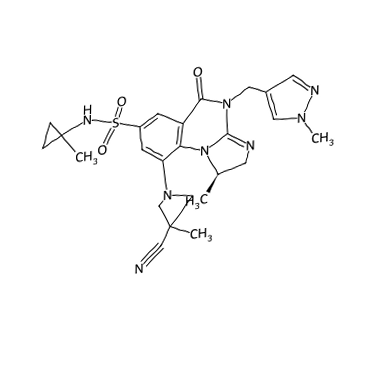 C[C@@H]1CN=C2N(Cc3cnn(C)c3)C(=O)c3cc(S(=O)(=O)NC4(C)CC4)cc(N4CC(C)(C#N)C4)c3N21